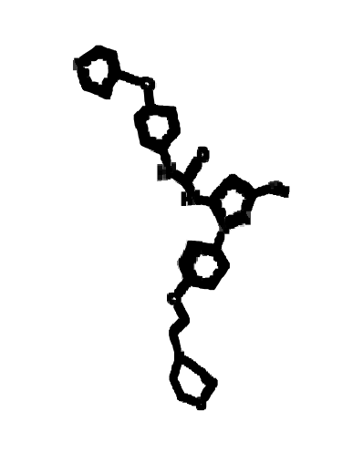 CC(C)(C)c1cc(NC(=O)Nc2ccc(Oc3ccncc3)cc2)n(-c2ccc(OCCN3CCOCC3)cc2)n1